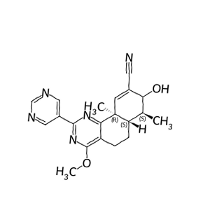 COc1nc(-c2cncnc2)nc2c1CC[C@H]1[C@H](C)C(O)C(C#N)=C[C@]21C